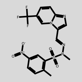 Cc1ccc([N+](=O)[O-])cc1S(=O)(=O)N(C)N=Cc1cnc2ccc(C(F)(F)F)cn12